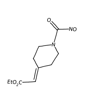 CCOC(=O)C=C1CCN(C(=O)N=O)CC1